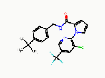 CC(C)(C)c1ccc(CNC(=O)c2cccn2-c2ncc(C(F)(F)F)cc2Cl)cc1